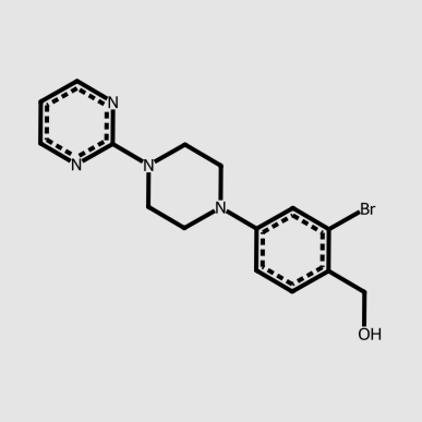 OCc1ccc(N2CCN(c3ncccn3)CC2)cc1Br